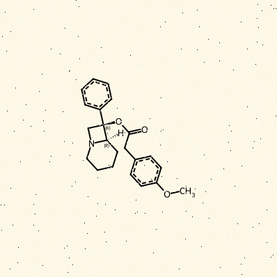 COc1ccc(CC(=O)O[C@]2(c3ccccc3)CN3CCCC[C@@H]32)cc1